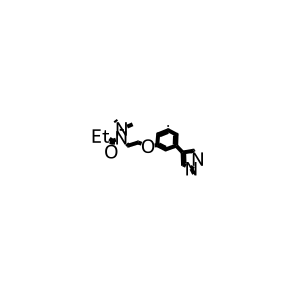 CCC(=O)N(CCOc1c[c]cc(-c2cnn(C)c2)c1)N(C)C